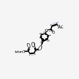 COC(=O)/C=C\C(=O)Oc1ccc(OC(=O)/C=C\C(C)=O)cc1